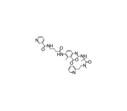 Cc1c(NC(=O)CCCNC(=O)c2cccnc2)ccc2nc(NC(C)(C)C(=O)N(C)CCc3ccccn3)oc(=O)c12